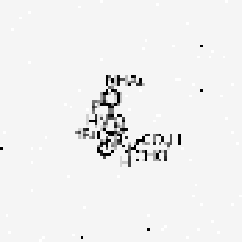 CC(=O)Nc1ccc(C(=O)N[C@H](C(=O)[N+]2(C(=O)N[C@H](C=O)CC(=O)O)CCCC2)C(C)(C)C)c(F)c1